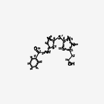 O=C(Nc1cnc(Sc2nnc(CCO)s2)s1)c1ccccc1